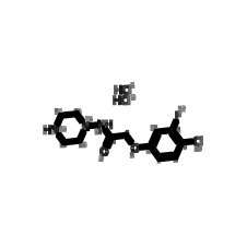 Cl.Cl.O=C(COc1ccc(Cl)c(F)c1)NN1CCNCC1